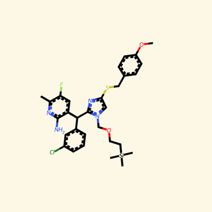 COc1ccc(CSc2cn(COCC[Si](C)(C)C)c(C(c3cccc(Cl)c3)c3cc(F)c(C)nc3N)n2)cc1